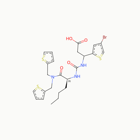 CCCC[C@H](NC(=O)NC(CC(=O)O)c1cc(Br)cs1)C(=O)N(Cc1cccs1)Cc1cccs1